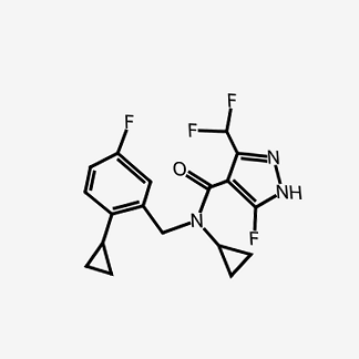 O=C(c1c(C(F)F)n[nH]c1F)N(Cc1cc(F)ccc1C1CC1)C1CC1